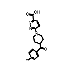 O=C(O)c1ccc(N2CCC(C(=O)c3ccc(F)cc3)CC2)nn1